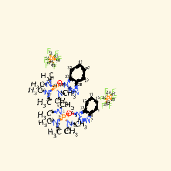 CN(C)[P+](On1nnc2ccccc21)(N(C)C)N(C)C.CN(C)[P+](On1nnc2ccccc21)(N(C)C)N(C)C.F[P-](F)(F)(F)(F)F.F[P-](F)(F)(F)(F)F